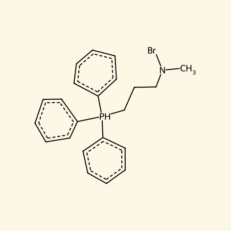 CN(Br)CCC[PH](c1ccccc1)(c1ccccc1)c1ccccc1